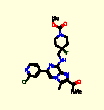 CNC(=O)c1nc2c(NCC3(F)CCN(C(=O)OC(C)(C)C)CC3)nc(-c3ccnc(Cl)c3)cn2c1C